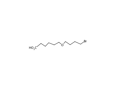 O=C(O)CCCCCOCCCCBr